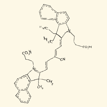 CC1(C)C(/C=C/C(C#N)=C/C=C2/N(CCC(=O)O)c3ccc4ccccc4c3C2(C)C)=[N+](CCC(=O)O)c2ccc3ccccc3c21